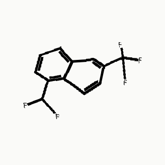 F[C](F)c1cccc2cc(C(F)(F)F)ccc12